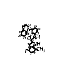 Cc1ccc(F)c2cc(C(=O)Nc3cccc(N4CCOc5ccccc54)c3)[nH]c12